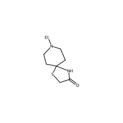 CCN1CCC2(CC1)NC(=O)CS2